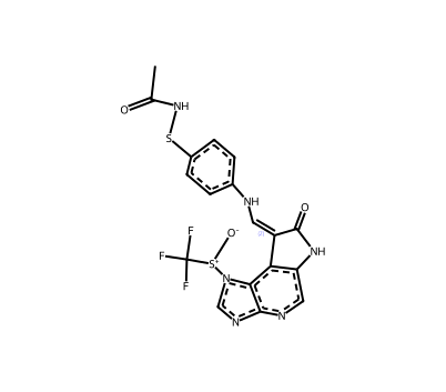 CC(=O)NSc1ccc(N/C=C2\C(=O)Nc3cnc4ncn([S+]([O-])C(F)(F)F)c4c32)cc1